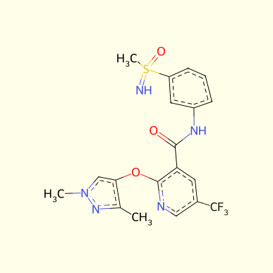 Cc1nn(C)cc1Oc1ncc(C(F)(F)F)cc1C(=O)Nc1cccc(S(C)(=N)=O)c1